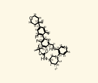 C[C@@H]1C[C@H](NC(=O)OC(C)(C)C)CN(c2ccncc2NCc2ccc(F)c(-c3c(F)cc(C4(F)CCOCC4)cc3F)n2)C1